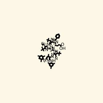 [C-]#[N+]c1c(C(C)(C)C)nn(-c2nnc(-n3nc(C(C)(C)C)c(C#N)c3N=Nc3c(C)cc(N(C)c4c(C)cc(C)cc4C)nc3Nc3c(C)cc(C)cc3C)s2)c1N=Nc1c(C(C)(C)C)nn2c(-c3ccccc3)nn(CCCC(=O)O)c12